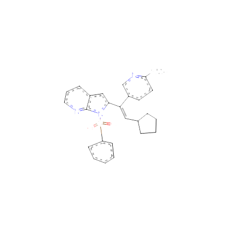 CSc1ccc(C(=CC2CCCC2)c2cc3cccnc3n2S(=O)(=O)c2ccccc2)cn1